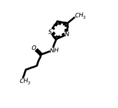 CCCC(=O)Nc1nc(C)cs1